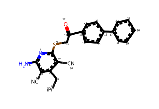 CC(C)Cc1c(C#N)c(N)nc(SCC(=O)c2ccc(-c3ccccc3)cc2)c1C#N